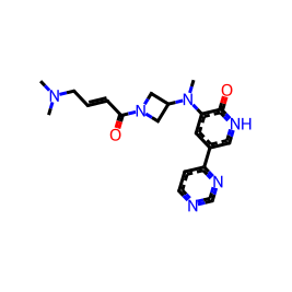 CN(C)CC=CC(=O)N1CC(N(C)c2cc(-c3ccncn3)c[nH]c2=O)C1